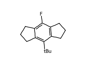 CC(C)(C)c1c2c(c(F)c3c1CCC3)CCC2